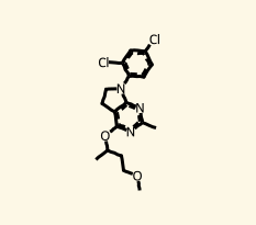 COCCC(C)Oc1nc(C)nc2c1CCN2c1ccc(Cl)cc1Cl